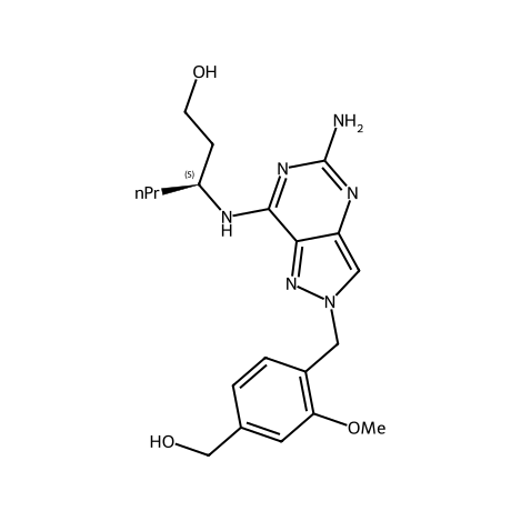 CCC[C@@H](CCO)Nc1nc(N)nc2cn(Cc3ccc(CO)cc3OC)nc12